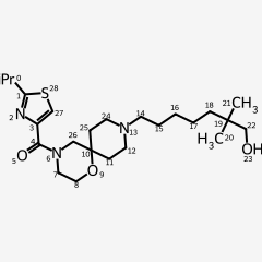 CC(C)c1nc(C(=O)N2CCOC3(CCN(CCCCCC(C)(C)CO)CC3)C2)cs1